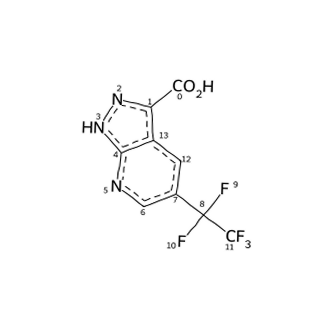 O=C(O)c1n[nH]c2ncc(C(F)(F)C(F)(F)F)cc12